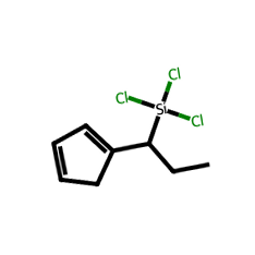 CCC(C1=CC=CC1)[Si](Cl)(Cl)Cl